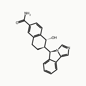 NC(=O)c1ccc2c(c1)CC[C@H]([C@@H]1c3ccccc3-c3cncn31)[C@H]2O